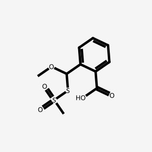 COC(SS(C)(=O)=O)c1ccccc1C(=O)O